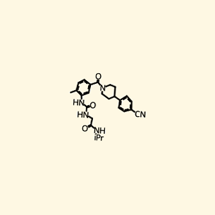 Cc1ccc(C(=O)N2CCC(c3ccc(C#N)cc3)CC2)cc1NC(=O)NCC(=O)NC(C)C